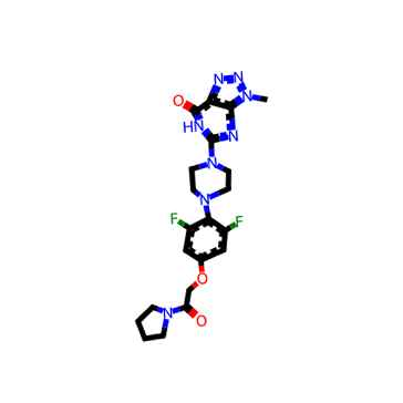 Cn1nnc2c(=O)[nH]c(N3CCN(c4c(F)cc(OCC(=O)N5CCCC5)cc4F)CC3)nc21